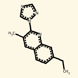 CCc1ccc2cc(C)c(-n3cncn3)nc2c1